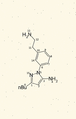 CCCCc1cc(N)n(-c2cccc(CCN)c2)n1